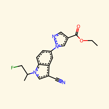 CCOC(=O)c1cnn(-c2ccc3c(c2)c(C#N)cn3C(C)CF)c1